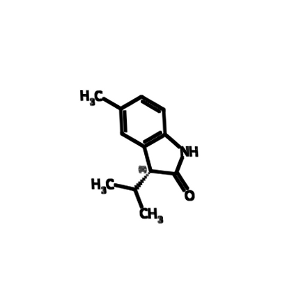 Cc1ccc2c(c1)[C@@H](C(C)C)C(=O)N2